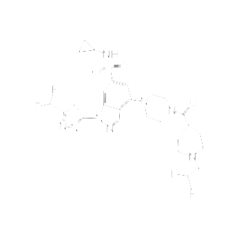 O=C(C1CCN(CC(F)F)CC1)N1CCN(c2cc(S(=O)(=O)NC3CC3)cc3c2cnn3-c2nnc(C(F)F)s2)CC1